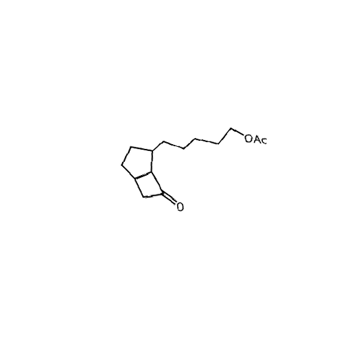 CC(=O)OCCCCCC1CCC2CC(=O)C12